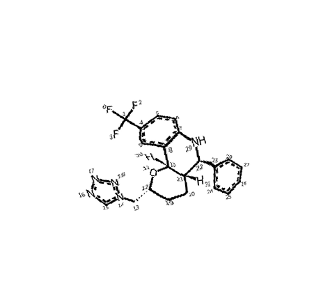 FC(F)(F)c1ccc2c(c1)[C@H]1O[C@@H](Cn3cnnn3)CC[C@H]1[C@H](c1ccccc1)N2